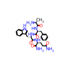 C[C@H](N)C(=O)N[C@@H](Cc1ccccc1)C(=O)N[C@@H](Cc1c[nH]c2ccccc12)C(=O)N[C@@H](CCC(N)=O)C(N)=O